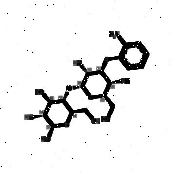 Nc1ccccc1O[C@@H]1[C@@H](O)[C@@H](O[C@H]2[C@H](O)[C@@H](O)[C@H](O)O[C@@H]2CO)O[C@H](CO)[C@H]1O